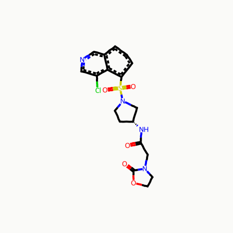 O=C(CN1CCOC1=O)N[C@@H]1CCN(S(=O)(=O)c2cccc3cncc(Cl)c23)C1